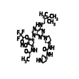 CCC(=O)N[C@H]1C[C@@H](n2cnc3c(NCCC(C)(C)C)nc(N4CC[C@@H](NC(=O)N[C@@H]5CCNC5)C4)nc32)[C@H](OC(=O)C(F)(F)F)[C@@H]1O